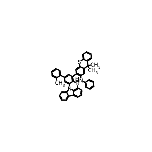 Cc1ccccc1-c1cc(-c2cc3c(cc2Nc2ccccc2)C(C)(C)c2ccccc2S3)c2c(c1)-n1c3ccccc3c3cccc(c31)B2